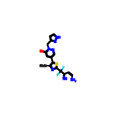 CNc1nc(C(F)(F)C(=N)/C=C\N)sc1-c1cnn(Cc2cc[nH]n2)c(=O)c1